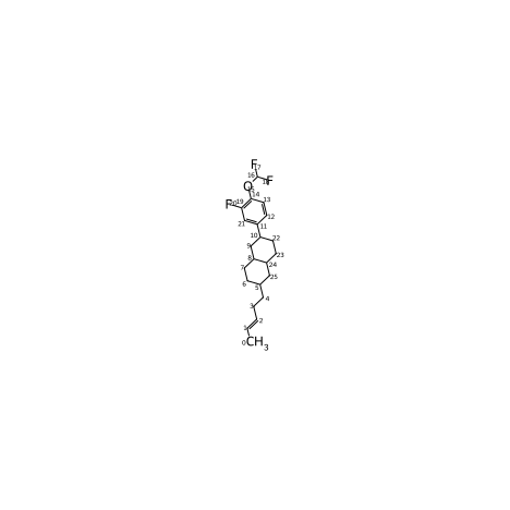 C/C=C/CCC1CCC2CC(c3ccc(OC(F)F)c(F)c3)CCC2C1